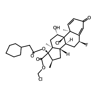 C[C@@H]1C[C@H]2[C@@H]3C[C@H](F)C4=CC(=O)C=C[C@]4(C)[C@@]3(Cl)[C@@H](O)C[C@]2(C)[C@@]1(OC(=O)CC1CCCCC1)C(=O)OCCl